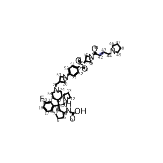 O=C(O)N[C@H]1CCC[C@@H]1[C@](CN1CCC1)(c1cccc(F)c1)C1CCN(CC2CN(c3ccc(S(=O)(=O)C4CN(C(=O)/C=C/CN5CCCC5)C4)cc3)C2)CC1